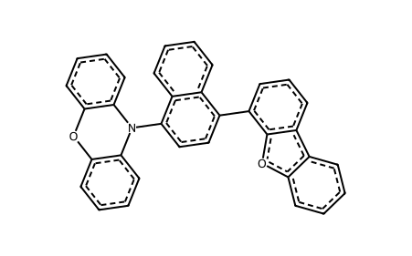 c1ccc2c(c1)Oc1ccccc1N2c1ccc(-c2cccc3c2oc2ccccc23)c2ccccc12